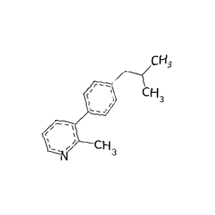 Cc1ncccc1-c1ccc(CC(C)C)cc1